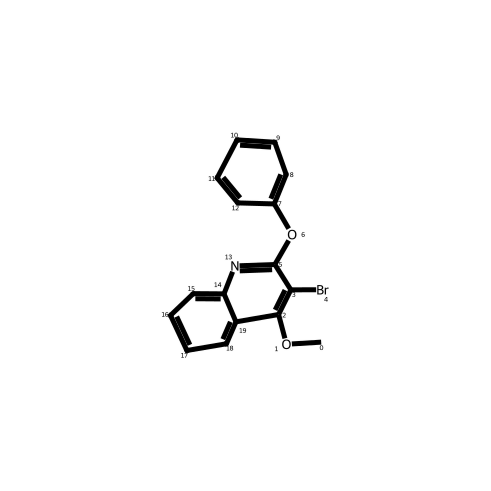 COc1c(Br)c(Oc2ccccc2)nc2ccccc12